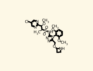 COc1cccc(OC)c1-n1c(COC2CCN2)nnc1NS(=O)(=O)[C@@H](C)[C@H](OC)c1ncc(Cl)cn1